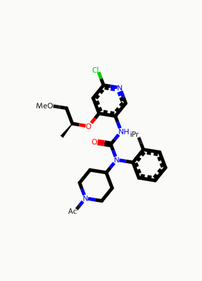 COC[C@H](C)Oc1cc(Cl)ncc1NC(=O)N(c1ccccc1C(C)C)C1CCN(C(C)=O)CC1